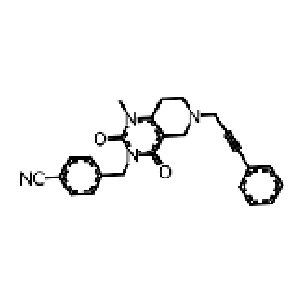 Cn1c2c(c(=O)n(Cc3ccc(C#N)cc3)c1=O)CN(CC#Cc1ccccc1)CC2